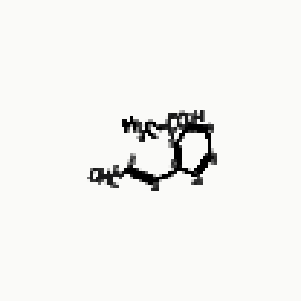 CC(=O)O.O=CC=Cc1ccccc1